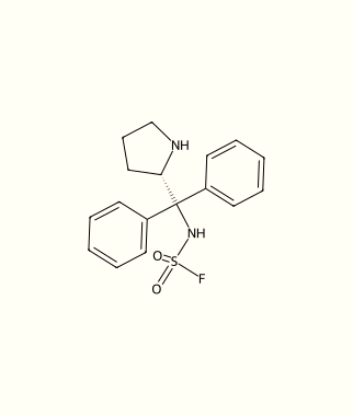 O=S(=O)(F)NC(c1ccccc1)(c1ccccc1)[C@@H]1CCCN1